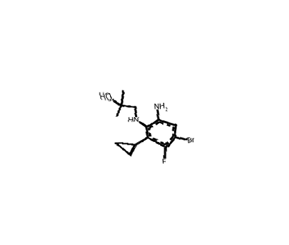 CC(C)(O)CNc1c(N)cc(Br)c(F)c1C1CC1